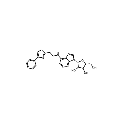 OC[C@H]1O[C@@H](n2cnc3c(NCCc4nc(-c5ccccc5)cs4)ncnc32)C(O)C1O